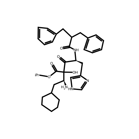 CC(C)OC(=O)C(O)(C(=O)[C@H](Cc1c[nH]cn1)NC(=O)C(Cc1ccccc1)Cc1ccccc1)[C@@H](N)CC1CCCCC1